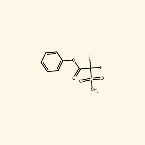 NS(=O)(=O)C(F)(F)C(=O)Oc1ccccc1